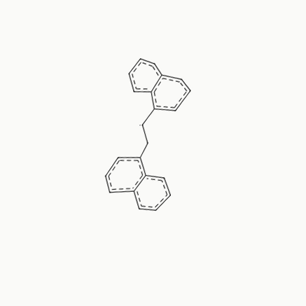 [CH](Cc1cccc2ccccc12)c1cccc2ccccc12